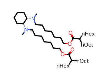 CCCCCCCCC(CCCCCC)C(=O)OCCCCCCCN(C)[C@@H]1CCCC[C@@H]1N(C)CCCCCCCOC(=O)C(CCCCCC)CCCCCCCC